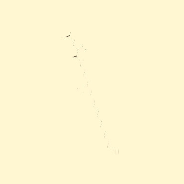 CCCCCCCCCCCCCCCCCCOC(=O)C(N)CCC(=O)[O-].[Ag+]